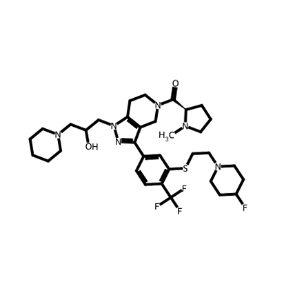 CN1CCC[C@@H]1C(=O)N1CCc2c(c(-c3ccc(C(F)(F)F)c(SCCN4CCC(F)CC4)c3)nn2CC(O)CN2CCCCC2)C1